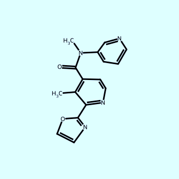 Cc1c(C(=O)N(C)c2cccnc2)ccnc1-c1ncco1